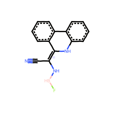 N#C/C(NBF)=C1/Nc2ccccc2-c2ccccc21